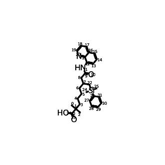 CC(C)(CCCCC(CC(=O)Nc1cccc2cccnc12)C[Si](C)(C)c1ccccc1)C(=O)O